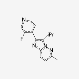 Cc1ccc2nc(-c3ccncc3F)c(C(C)C)n2n1